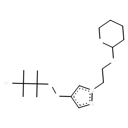 CC(C)(O)C(C)(C)OBc1cnn(CCOC2CCCCO2)c1